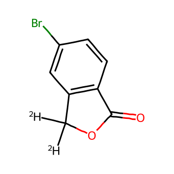 [2H]C1([2H])OC(=O)c2ccc(Br)cc21